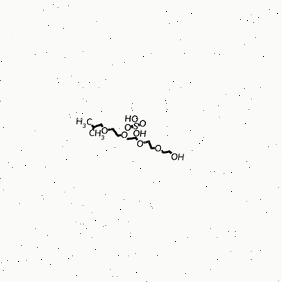 CC(C)COCCOCCOCCOCCO.O=S(=O)(O)O